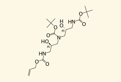 C=CCOC(=O)NC[C@@H](O)CN(C[C@H](O)CNC(=O)OC(C)(C)C)C(=O)OC(C)(C)C